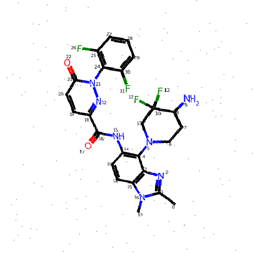 Cc1nc2c(N3CCC(N)C(F)(F)C3)c(NC(=O)c3ccc(=O)n(-c4c(F)cccc4F)n3)ccc2n1C